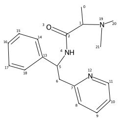 CC(C(=O)NC(Cc1ccccn1)c1ccccc1)N(C)C